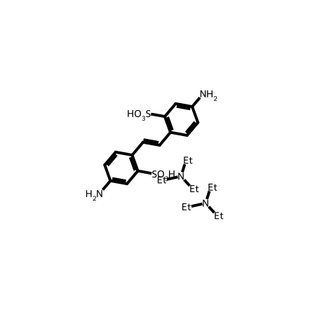 CCN(CC)CC.CCN(CC)CC.Nc1ccc(C=Cc2ccc(N)cc2S(=O)(=O)O)c(S(=O)(=O)O)c1